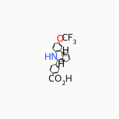 O=C(O)c1ccc(C2Nc3ccc(OC(F)(F)F)cc3[C@@H]3C=CC[C@H]23)cc1